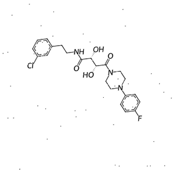 O=C(NCCc1cccc(Cl)c1)[C@H](O)[C@@H](O)C(=O)N1CCN(c2ccc(F)cc2)CC1